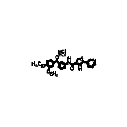 COc1ccc(C(=O)c2cccc(NC(=O)C3CSC(c4cccnc4)N3)c2)cc1OC.Cl.Cl